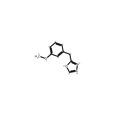 COc1cccc(Cc2nnco2)c1